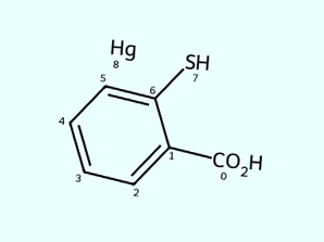 O=C(O)c1ccccc1S.[Hg]